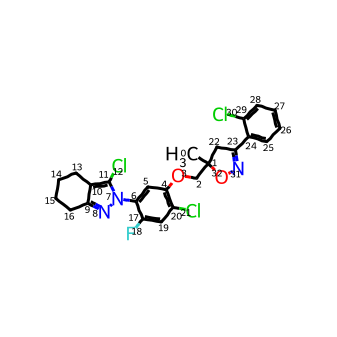 CC1(COc2cc(-n3nc4c(c3Cl)CCCC4)c(F)cc2Cl)CC(c2ccccc2Cl)=NO1